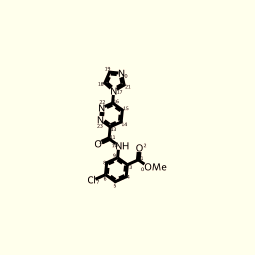 COC(=O)c1ccc(Cl)cc1NC(=O)c1ccc(-n2ccnc2)nn1